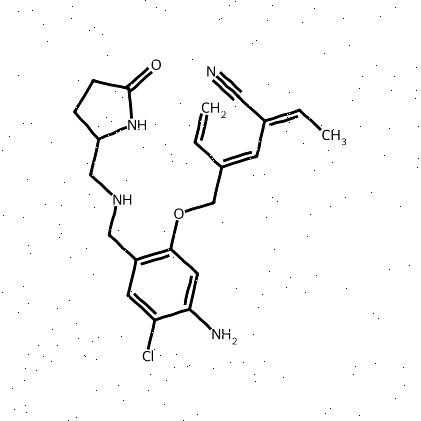 C=C/C(=C\C(C#N)=C/C)COc1cc(N)c(Cl)cc1CNCC1CCC(=O)N1